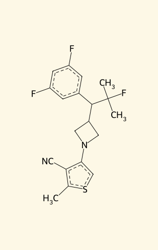 Cc1scc(N2CC(C(c3cc(F)cc(F)c3)C(C)(C)F)C2)c1C#N